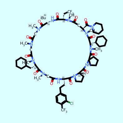 CC[C@H](C)[C@@H]1NC(=O)[C@H](CC(F)(F)F)N(C)C(=O)C[C@@H](C(=O)N2CCCCC2)N(C)C(=O)[C@H](C2CCCCC2)N(C)C(=O)C2(CCCC2)NC(=O)[C@@H]2CCCN2C(=O)[C@H](CCc2ccc(C(F)(F)F)c(Cl)c2)NC(=O)CN(C)C(=O)[C@H](CC2CCCCC2)N(C)C(=O)CN(C)C(=O)CN(C)C1=O